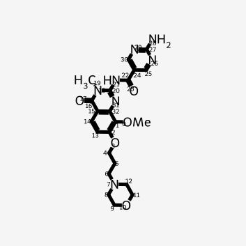 COc1c(OCCCN2CCOCC2)ccc2c(=O)n(C)c(NC(=O)c3cnc(N)nc3)nc12